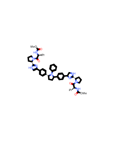 COC(=O)N[C@H](C(=O)N1CCC[C@H]1C1=NC(c2ccc(C3CC[C@H](c4ccc(-c5c[nH]c([C@@H]6CCCN6C(=O)[C@@H](NC(=O)OC)C(C)C)n5)cc4)N3c3ccccc3)cc2)CN1)C(C)C